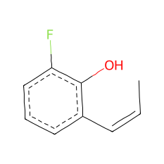 C/C=C\c1cccc(F)c1O